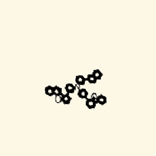 c1cc(-c2ccc3ccccc3c2)cc(N(c2ccc(-c3cccc4c3oc3ccccc34)cc2)c2cccc(-c3cccc4oc5c6ccccc6ccc5c34)c2)c1